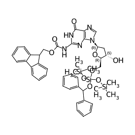 C[Si](C)(C)O[Si](OC[C@H]1O[C@@H](n2cnc3c(=O)[nH]c(NC(=O)OCC4c5ccccc5-c5ccccc54)nc32)C[C@@H]1O)(OC(c1ccccc1)c1ccccc1)O[Si](C)(C)C